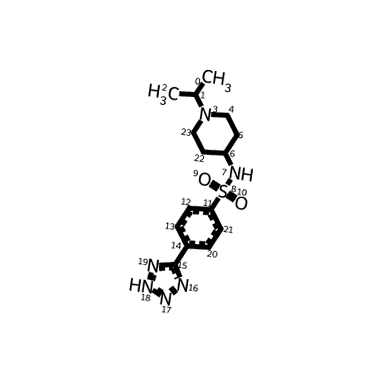 CC(C)N1CCC(NS(=O)(=O)c2ccc(-c3nn[nH]n3)cc2)CC1